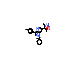 Cc1ccc(-c2cn(CC3(C)CCCCC3)c3cc(-c4c(C)noc4C)cnc23)cc1